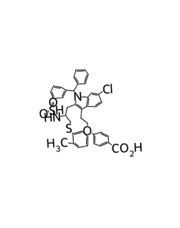 Cc1ccccc1SCC(Cc1c(CCOc2ccc(C(=O)O)cc2)c2ccc(Cl)cc2n1C(c1ccccc1)c1ccccc1)N[SH](=O)=O